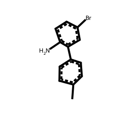 Cc1ccc(-c2cc(Br)ccc2N)cc1